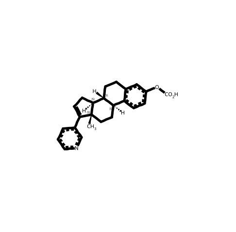 C[C@]12CC[C@@H]3c4ccc(OC(=O)O)cc4CC[C@H]3[C@@H]1CC=C2c1cccnc1